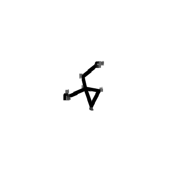 CCC1(CCl)CC1